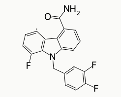 NC(=O)c1cccc2c1c1[c]ccc(F)c1n2Cc1ccc(F)c(F)c1